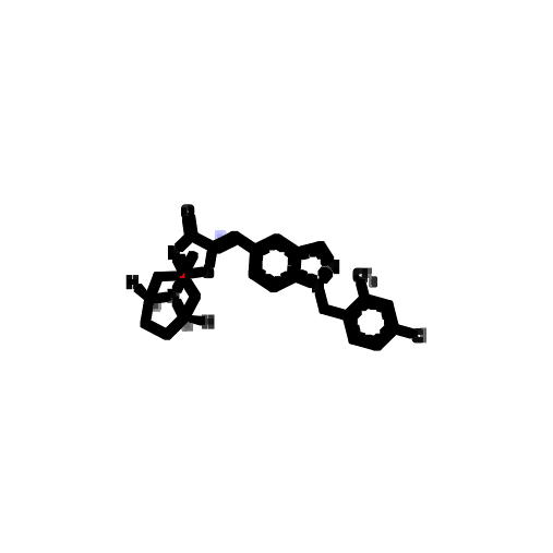 CN1C[C@H]2CC[C@@H](C1)N2C1=NC(=O)/C(=C/c2ccc3c(cnn3Cc3ccc(Cl)cc3C(F)(F)F)c2)S1